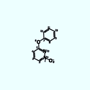 [O-][n+]1cccc(Oc2ccccc2)n1